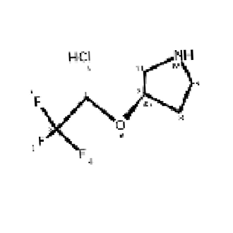 Cl.FC(F)(F)CO[C@@H]1CCNC1